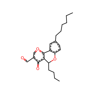 CCCCCCc1ccc2c(c1)-c1occ(C=O)c(=O)c1C(CCCC)O2